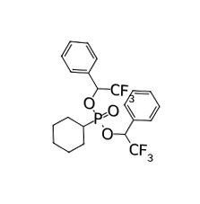 O=P(OC(c1ccccc1)C(F)(F)F)(OC(c1ccccc1)C(F)(F)F)C1CCCCC1